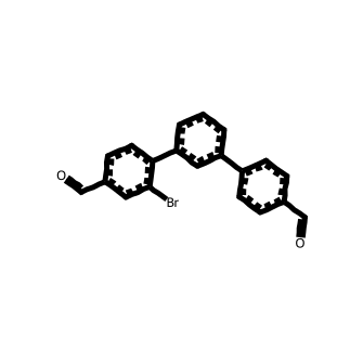 O=Cc1ccc(-c2cccc(-c3ccc(C=O)cc3Br)c2)cc1